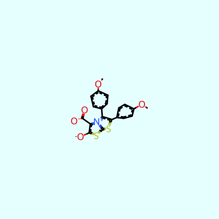 COc1ccc(-c2sc3sc([O])c(C(=O)[O-])[n+]3c2-c2ccc(OC)cc2)cc1